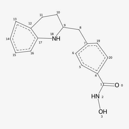 O=C(NO)c1ccc(CC2CCc3ccccc3N2)cc1